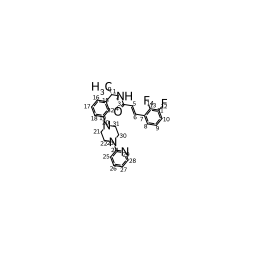 C[C@H](NC(=O)C=Cc1cccc(F)c1F)c1cccc(N2CCN(c3ccccn3)CC2)c1